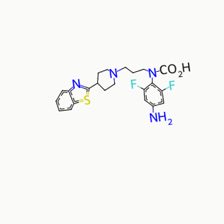 Nc1cc(F)c(N(CCCN2CCC(c3nc4ccccc4s3)CC2)C(=O)O)c(F)c1